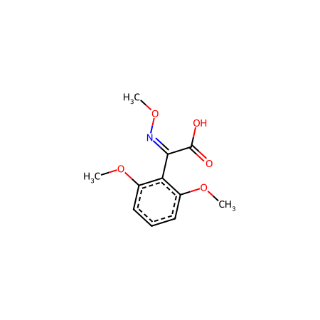 CON=C(C(=O)O)c1c(OC)cccc1OC